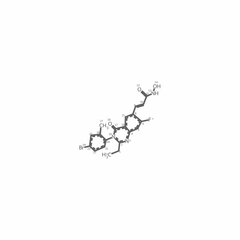 CCc1nc2cc(F)c(/C=C/C(=O)NO)cc2c(=O)n1-c1ccc(Br)cc1C